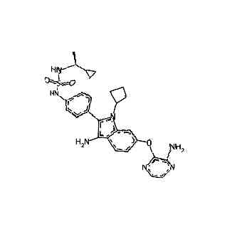 C[C@H](NS(=O)(=O)Nc1ccc(-c2c(N)c3ccc(Oc4nccnc4N)cc3n2C2CCC2)cc1)C1CC1